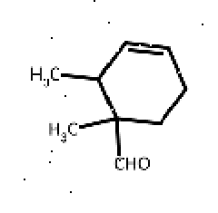 CC1C=CCCC1(C)C=O